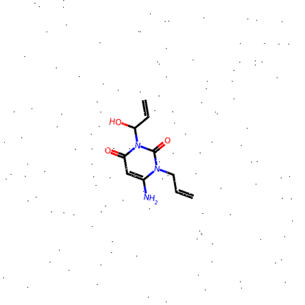 C=CCn1c(N)cc(=O)n(C(O)C=C)c1=O